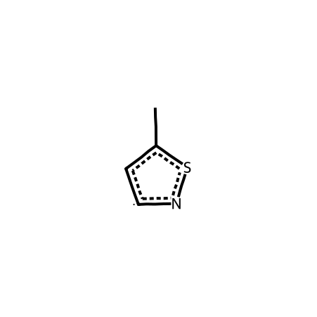 Cc1c[c]ns1